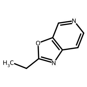 CCc1nc2ccncc2o1